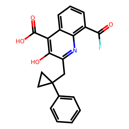 O=C(O)c1c(O)c(CC2(c3ccccc3)CC2)nc2c(C(=O)F)cccc12